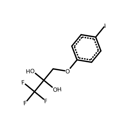 OC(O)(COc1ccc(I)cc1)C(F)(F)F